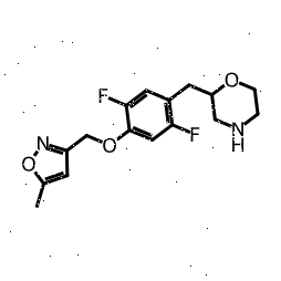 Cc1cc(COc2cc(F)c(CC3CNCCO3)cc2F)no1